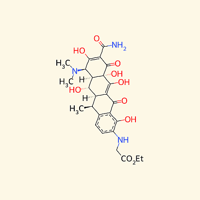 CCOC(=O)CNc1ccc2c(c1O)C(=O)C1=C(O)[C@]3(O)C(=O)C(C(N)=O)=C(O)[C@H](N(C)C)[C@@H]3[C@@H](O)[C@@H]1[C@@H]2C